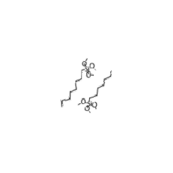 CCCCCCCC[Si](OC)(OC)OC.CCCCCCC[Si](OC)(OC)OC